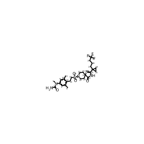 Cc1cc(N(C)C(N)=O)cc(C)c1CCS(=O)(=O)N1CCC2(CC1)N=C(C1(CCCC(F)(F)F)CC1)NC2=O